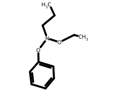 CCCN(OCC)Oc1ccccc1